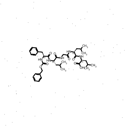 CC(C)C[C@H](NC(=O)[C@H](CC(C)C)NC(=O)CNC(=O)[C@H](CC(C)C)NC(=O)[C@H](Cc1ccccc1)NC(=O)OCc1ccccc1)C(=O)O